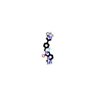 Cn1cc(-c2ccc(CN3Cc4ccc5nncn5c4C3=O)c(F)c2)cn1